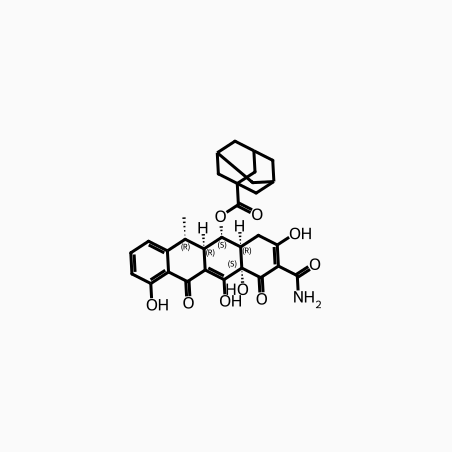 C[C@H]1c2cccc(O)c2C(=O)C2=C(O)[C@]3(O)C(=O)C(C(N)=O)=C(O)C[C@@H]3[C@@H](OC(=O)C34CC5CC(CC(C5)C3)C4)[C@@H]21